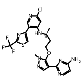 C[C@@H](CCOc1c(-c2nccc(N)n2)cnn1C)Nc1cc(Cl)ncc1-c1csc(C(F)(F)F)n1